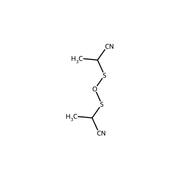 CC(C#N)SOSC(C)C#N